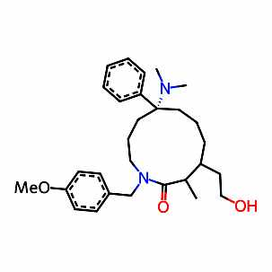 COc1ccc(CN2CCC[C@](c3ccccc3)(N(C)C)CCCC(CCO)C(C)C2=O)cc1